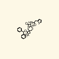 C=CC1(C(=O)OC(c2ccccc2)c2ccccc2)CS[C@@H]2C(NC(=O)Cc3cccs3)C(=O)N2C1